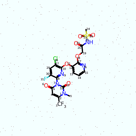 Cn1c(C(F)(F)F)cc(=O)n(-c2nc(Oc3cccnc3OCC(=O)NS(C)(=O)=O)c(Cl)cc2F)c1=O